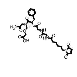 NC(=O)CN(COCC(=O)O)C(=O)[C@@H](Cc1ccccc1)NC(=O)CNC(=O)CNC(=O)CCCCCN1C(=O)C=CC1=O